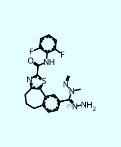 C=NN(C)/C(=N\N)c1ccc2c(c1)-c1sc(C(=O)Nc3c(F)cccc3F)nc1CCC2